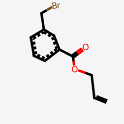 C=CCOC(=O)c1cccc(CBr)c1